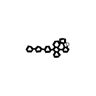 c1ccc(-c2ccc(-c3ccc(-c4c5ccccc5c(-c5cccc6oc7ccccc7c56)c5ccccc45)cc3)cc2)cc1